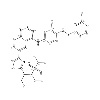 CCC(c1nc(-c2cc3c(Nc4ccc(OCc5cccc(F)c5)c(Cl)c4)ncnc3cn2)cs1)N(CC)S(=O)(=O)C(C)C